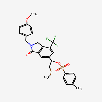 COc1ccc(CN2Cc3c(cc(C(CSC)OS(=O)(=O)c4ccc(C)cc4)cc3C(F)(F)F)C2=O)cc1